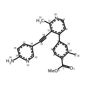 COC(=O)c1ccc(-c2ccnc(C)c2C#Cc2ccc(N)nc2)cc1F